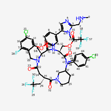 CNCc1ncc(-c2ccc(Oc3cc(Cl)cc(F)c3CN3C(=O)C[C@@H](CC(F)(F)F)C(=O)N4CCC[C@@](Cc5ccc(Cl)cc5)(C4)N(C)C(=O)[C@H](COC(=O)C(F)(F)F)NC(=O)[C@@H]3C)cc2)n1C